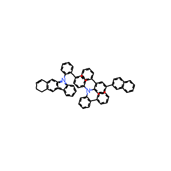 C1=Cc2cc3c(cc2CC1)c1ccccc1n3-c1ccccc1-c1ccc(N(c2ccccc2-c2ccccc2)c2ccc(-c3ccc4ccccc4c3)cc2-c2ccccc2)cc1